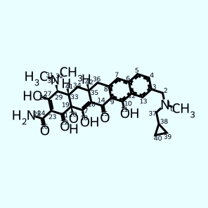 CN(Cc1ccc2cc3c(c(O)c2c1)C(=O)C1=C(O)[C@]2(O)C(=O)C(C(N)=O)=C(O)[C@@H](N(C)C)[C@@H]2C[C@@H]1C3)CC1CC1